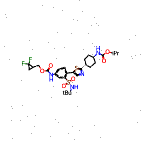 CC(C)OC(=O)N[C@H]1CC[C@H](c2ncc(-c3ccc(NC(=O)OCC4CC4(F)F)cc3S(=O)(=O)NC(C)(C)C)s2)CC1